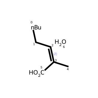 CCCCC/C=C(/C)C(=O)O.O